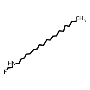 CCCCCCCCCCCCCCCCCCCCNCCF